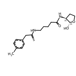 Cc1ccc(CC(=S)NCCCCC(=O)N[C@H]2CCO[C@@H]2O)cc1